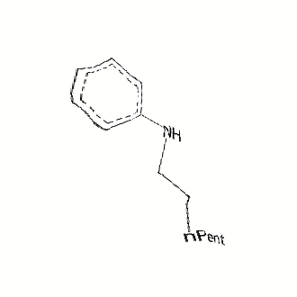 CCCCCCCNc1ccccc1